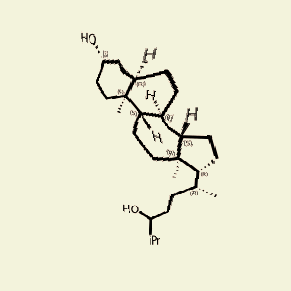 CC(C)C(O)CC[C@@H](C)[C@H]1CC[C@H]2[C@@H]3CC[C@@H]4C[C@@H](O)CC[C@]4(C)[C@H]3CC[C@]12C